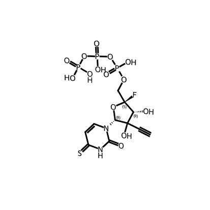 C#CC1(O)[C@@H](O)[C@@](F)(COP(=O)(O)OP(=O)(O)OP(=O)(O)O)O[C@H]1n1ccc(=S)[nH]c1=O